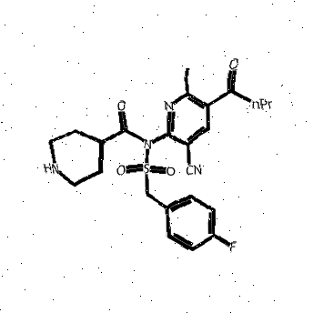 CCCC(=O)c1cc(C#N)c(N(C(=O)C2CCNCC2)S(=O)(=O)Cc2ccc(F)cc2)nc1C